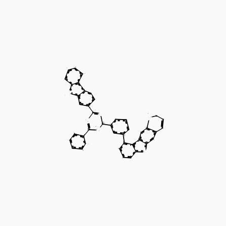 C1=Cc2cc3oc4cccc(-c5cccc(C6N=C(c7ccc8c(c7)oc7ccccc78)N=C(c7ccccc7)N6)c5)c4c3cc2NC1